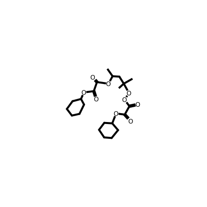 CC(CC(C)(C)OOC(=O)C(=O)OC1CCCCC1)OC(=O)C(=O)OC1CCCCC1